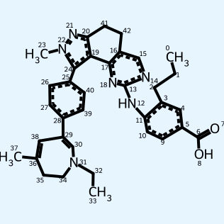 CCCc1cc(C(=O)O)ccc1Nc1ncc2c(n1)-c1c(nn(C)c1-c1ccc(C3=CN(CC)CCC(C)=C3)cc1)CC2